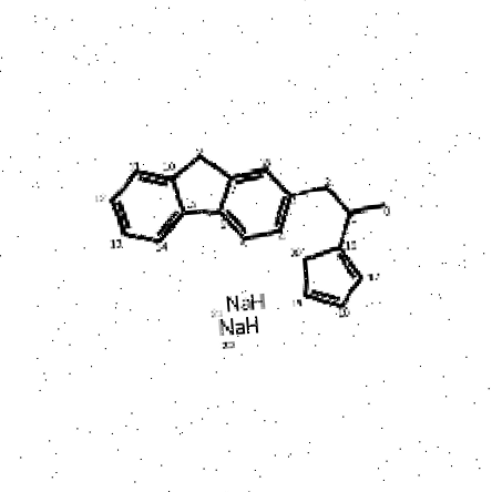 CC(Cc1ccc2c(c1)Cc1ccccc1-2)C1=CC=CC1.[NaH].[NaH]